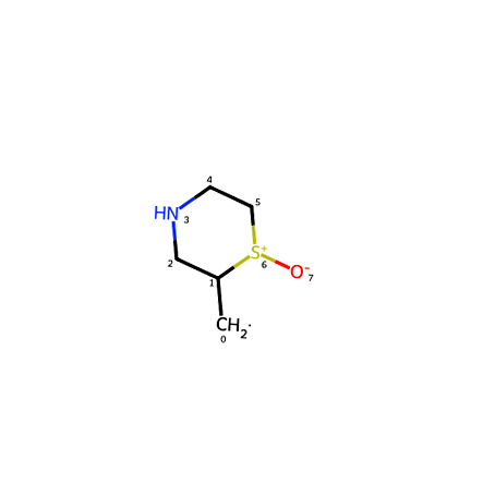 [CH2]C1CNCC[S+]1[O-]